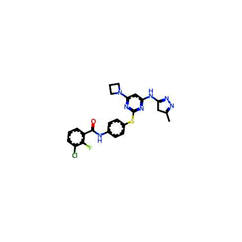 CC1=NN=C(Nc2cc(N3CCC3)nc(Sc3ccc(NC(=O)c4cccc(Cl)c4F)cc3)n2)C1